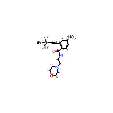 CC(C)[Si](C#Cc1cc([N+](=O)[O-])ccc1C(=O)NCCN1CCOCC1)(C(C)C)C(C)C